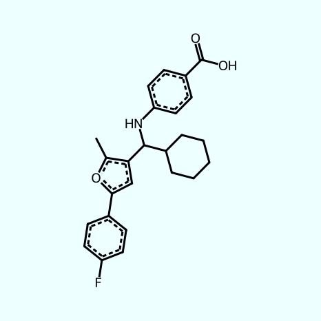 Cc1oc(-c2ccc(F)cc2)cc1C(Nc1ccc(C(=O)O)cc1)C1CCCCC1